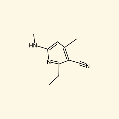 CCc1nc(NC)cc(C)c1C#N